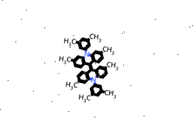 Cc1cc(C)cc(N2c3ccc(C)cc3C(=C3c4ccc(C)cc4N(c4cc(C)cc(C)c4)c4cc(C)ccc43)c3ccc(C)cc32)c1